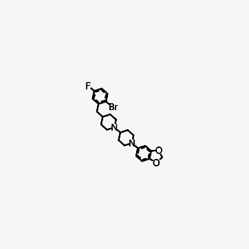 Fc1ccc(Br)c(CC2CCN(C3CCN(c4ccc5c(c4)OCO5)CC3)CC2)c1